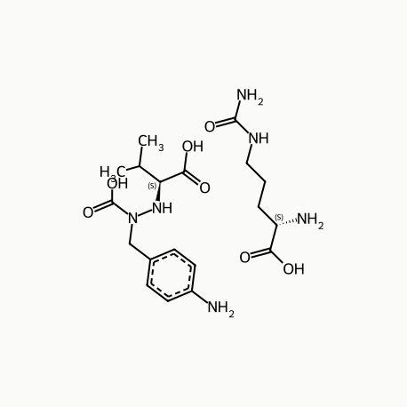 CC(C)[C@H](NN(Cc1ccc(N)cc1)C(=O)O)C(=O)O.NC(=O)NCCC[C@H](N)C(=O)O